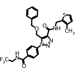 Cc1ccsc1CNC(=O)c1nnn(-c2ccc(C(=O)NCC(F)(F)F)cc2)c1COCc1ccccc1